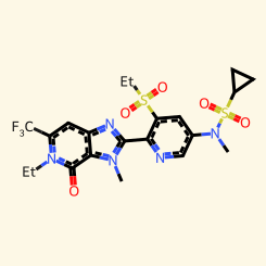 CCn1c(C(F)(F)F)cc2nc(-c3ncc(N(C)S(=O)(=O)C4CC4)cc3S(=O)(=O)CC)n(C)c2c1=O